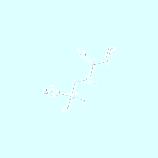 C=CC(=O)OC[Si](C)(C)OC(C)=O